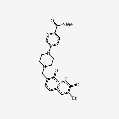 CCc1cc2ccc(CN3CCN(c4ccc(C(=O)NC)nc4)CC3)c(=O)n2[nH]c1=O